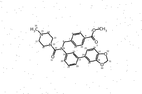 COC(=O)c1ccc(CN(C(=O)N2CCN(C)CC2)c2cccc(-c3ccc4c(c3)OCO4)c2)cc1